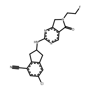 N#Cc1cc(Cl)cc2c1CC(Nc1ncc3c(n1)CN(CCF)C3=O)C2